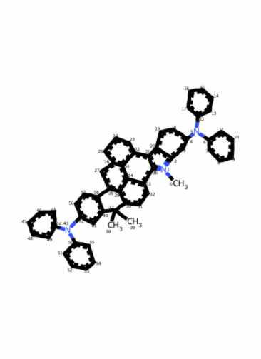 Cn1c2cc(N(c3ccccc3)c3ccccc3)ccc2c2c3cccc4cc5c6c(ccc(c6c43)c21)C(C)(C)c1cc(N(c2ccccc2)c2ccccc2)ccc1-5